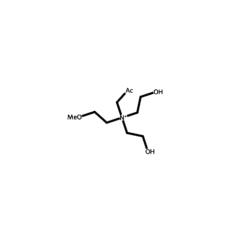 COCC[N+](CCO)(CCO)CC(C)=O